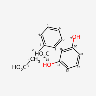 CC(=O)O.O=C(O)c1ccccc1.Oc1cccc(O)c1